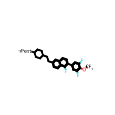 CCCCCC1CCC(CCc2ccc3c(F)c(-c4cc(F)c(OC(F)(F)F)c(F)c4)ccc3c2)CC1